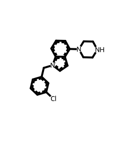 Clc1cccc(Cn2ccc3c(N4CCNCC4)cccc32)c1